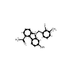 CCCc1c[c]c2c3c(C(N)=O)cccc3n(Cc3cccc(C)c3F)c2c1